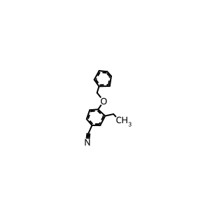 CCc1cc(C#N)ccc1OCc1ccccc1